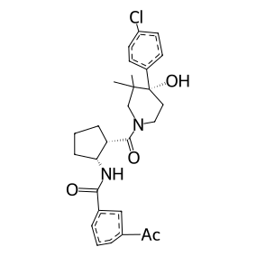 CC(=O)c1cccc(C(=O)N[C@@H]2CCC[C@@H]2C(=O)N2CC[C@](O)(c3ccc(Cl)cc3)C(C)(C)C2)c1